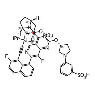 CC(C)[Si](C#Cc1c(F)ccc2cccc(-c3ncc4c(N5C[C@H]6CC[C@@H](C5)N6C(=O)OC(C)(C)C)nc(O[C@@H]5CCN(c6cccc(S(=O)(=O)O)c6)C5)nc4c3F)c12)(C(C)C)C(C)C